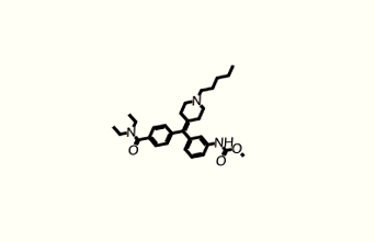 CCCCCN1CCC(=C(c2ccc(C(=O)N(CC)CC)cc2)c2cccc(NC(=O)OC)c2)CC1